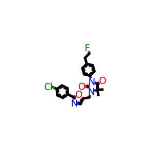 CC1(C)C(=O)N(c2ccc(CCF)cc2)C(=O)N1Cc1cnc(-c2ccc(Cl)cc2)o1